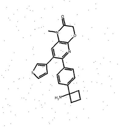 CN1C(=O)COc2nc(-c3ccc(C4(N)CCC4)cc3)c(-c3ccsc3)cc21